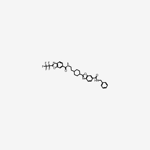 CN(CCC1CCC(c2nc3ccc(C(=O)NCc4ccccc4)cc3o2)CC1)C(=O)c1ccc2nc(C(F)(F)C(F)(F)F)oc2c1